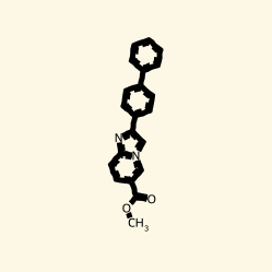 COC(=O)c1ccc2nc(-c3ccc(-c4ccccc4)cc3)cn2c1